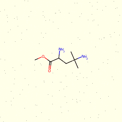 COC(=O)C(N)CC(C)(C)N